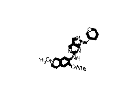 COc1cc2c(cc1Nc1ncc3cnn(C[C@H]4CCCOC4)c3n1)CN(C)CC2